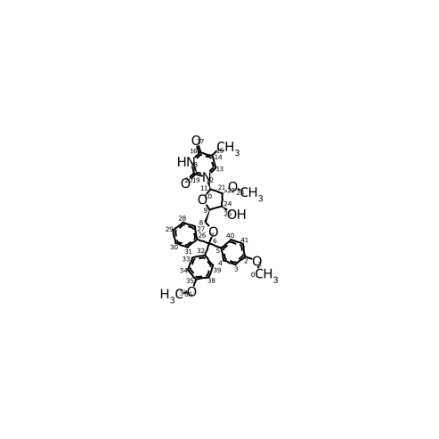 COc1ccc(C(OC[C@H]2O[C@@H](n3cc(C)c(=O)[nH]c3=O)[C@H](OC)[C@H]2O)(c2ccccc2)c2ccc(OC)cc2)cc1